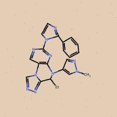 CCC1c2nncn2-c2cnc(-n3ccnc3-c3ccccc3)nc2N1c1cnn(C)c1